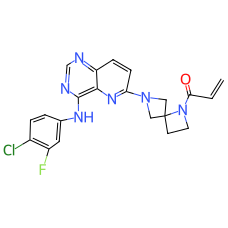 C=CC(=O)N1CCC12CN(c1ccc3ncnc(Nc4ccc(Cl)c(F)c4)c3n1)C2